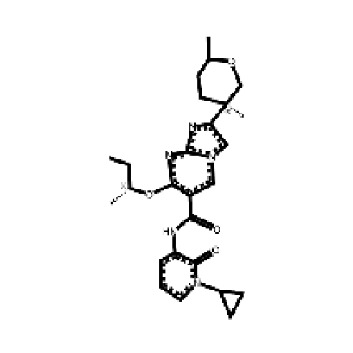 CC[C@@H](C)Oc1nc2nc([C@@]3(C)CCC(C)OC3)cn2cc1C(=O)Nc1cccn(C2CC2)c1=O